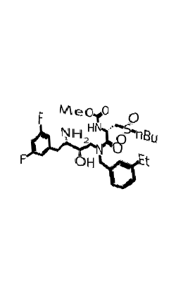 CCCCS(=O)(=O)C[C@@H](NC(=O)OC)C(=O)N(Cc1cccc(CC)c1)C[C@@H](O)[C@@H](N)Cc1cc(F)cc(F)c1